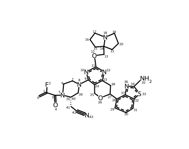 C=C(F)C(=O)N1CCN(c2nc(OCC34CCCN3CCC4)nc3c2COC(c2cccc4sc(N)nc24)C3)C[C@@H]1CC#N